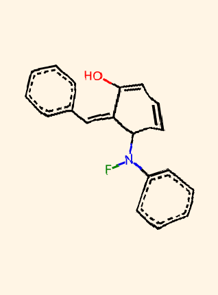 OC1=CC=CC(N(F)c2ccccc2)C1=Cc1ccccc1